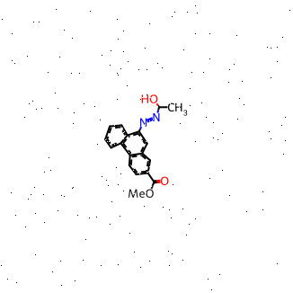 COC(=O)c1ccc2c(c1)cc(N=NC(C)O)c1ccccc12